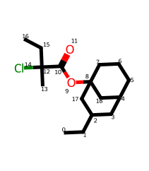 CCC1CC2CCCC(OC(=O)C(C)(Cl)CC)(C1)C2